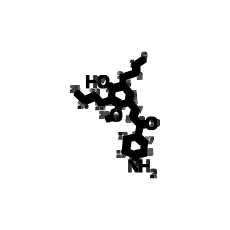 C/C=C/Cc1cc(/C=C/C(=O)c2ccc(N)cc2)c(OC)c(C/C=C/C)c1O